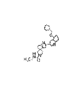 CCNC(=O)N1CCC2(CCn3nc(-c4cnc5cccc(OCc6ccccc6)c5c4)cc32)C1